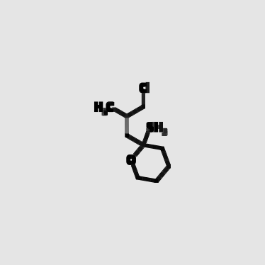 CC(CCl)CC1([SiH3])CCCCO1